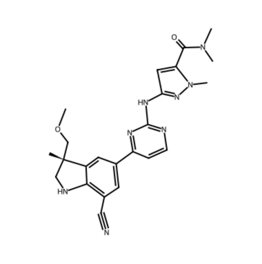 COC[C@@]1(C)CNc2c(C#N)cc(-c3ccnc(Nc4cc(C(=O)N(C)C)n(C)n4)n3)cc21